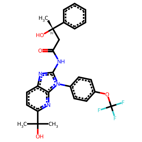 CC(C)(O)c1ccc2nc(NC(=O)C[C@](C)(O)c3ccccc3)n(-c3ccc(OC(F)(F)F)cc3)c2n1